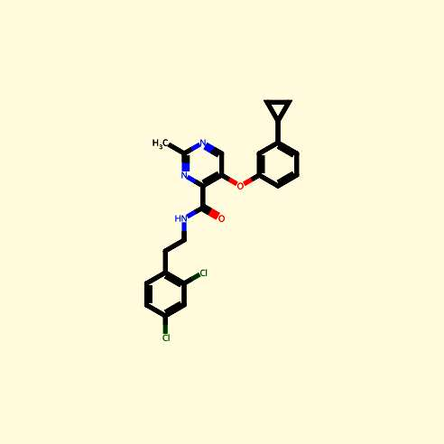 Cc1ncc(Oc2cccc(C3CC3)c2)c(C(=O)NCCc2ccc(Cl)cc2Cl)n1